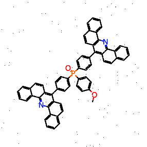 COc1ccc(P(=O)(c2ccc(-c3c4ccc5ccccc5c4nc4c3ccc3ccccc34)cc2)c2ccc(-c3c4ccc5ccccc5c4nc4c3ccc3ccccc34)cc2)cc1